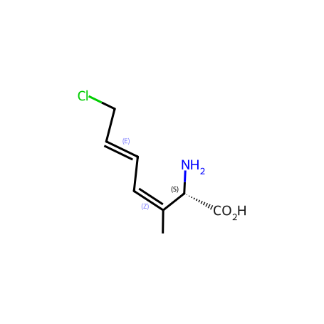 C/C(=C/C=C/CCl)[C@H](N)C(=O)O